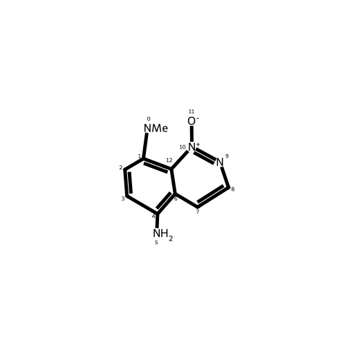 CNc1ccc(N)c2ccn[n+]([O-])c12